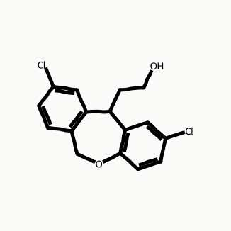 OCCC1c2cc(Cl)ccc2COc2ccc(Cl)cc21